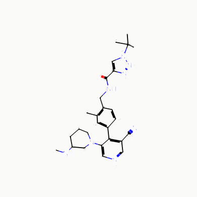 CNC1CCCN(c2cncc(C#N)c2-c2ccc(CNC(=O)c3cn(C(C)(C)C)nn3)c(C)c2)C1